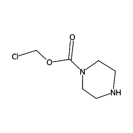 O=C(OCCl)N1CCNCC1